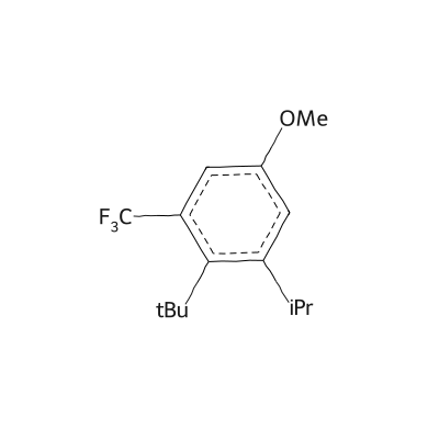 COc1cc(C(C)C)c(C(C)(C)C)c(C(F)(F)F)c1